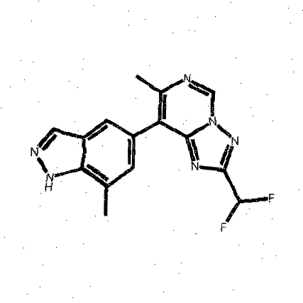 Cc1ncn2nc(C(F)F)nc2c1-c1cc(C)c2[nH]ncc2c1